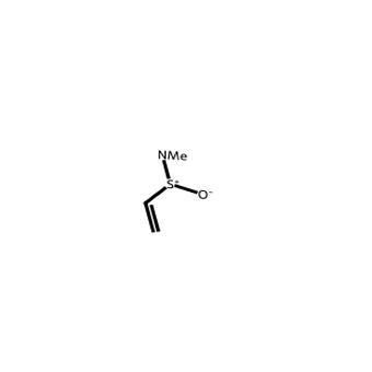 C=C[S+]([O-])NC